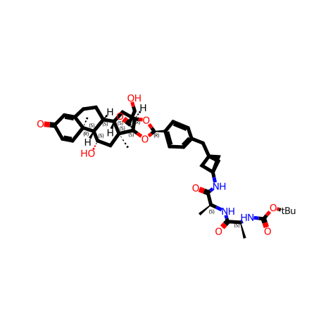 C[C@H](NC(=O)OC(C)(C)C)C(=O)N[C@@H](C)C(=O)NC12CC(Cc3ccc([C@@H]4O[C@@H]5C[C@H]6[C@@H]7CCC8=CC(=O)C=C[C@]8(C)[C@H]7[C@@H](O)C[C@]6(C)[C@]5(C(=O)CO)O4)cc3)(C1)C2